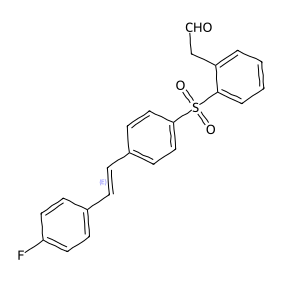 O=CCc1ccccc1S(=O)(=O)c1ccc(/C=C/c2ccc(F)cc2)cc1